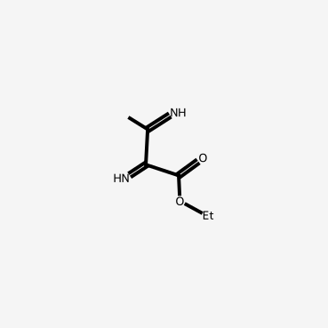 CCOC(=O)C(=N)C(C)=N